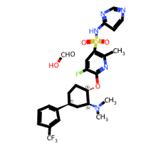 Cc1nc(O[C@H]2CC[C@H](c3cccc(C(F)(F)F)c3)C[C@@H]2N(C)C)c(F)cc1S(=O)(=O)Nc1ccncn1.O=CO